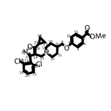 COC(=O)c1ccc(OCC2CCN(Cc3c(-c4c(Cl)cccc4Cl)noc3C3CC3)CC2)cc1